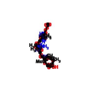 C=C1CC2CC[C@]34C[C@@H](O)C(O3)C3CC(O4)[C@H]4OC(CCC4O3)CC(=O)CC3[C@H](CC4O[C@@H](CCC1O2)C[C@@H](C)C4=C)O[C@H](CC(O)CNC(=O)OCc1ccc(NC(=O)C(CC(N)=O)NC(=O)[C@H](C)NC(=O)C(C)NC(=O)OCc2ccc(NC(=O)[C@H](CC(N)=O)NC(=O)[C@H](C)NC(=O)[C@H](C)NC(=O)CCOCCOCCN4C(=O)C=CC4=O)cc2)cc1)[C@@H]3OC